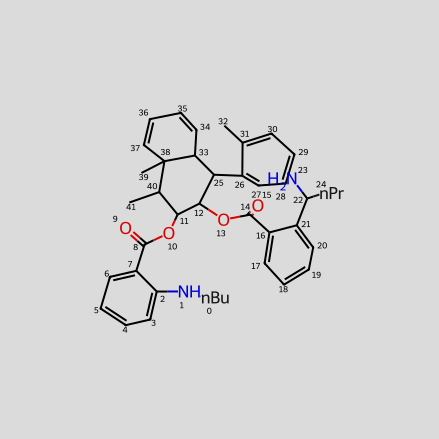 CCCCNc1ccccc1C(=O)OC1C(OC(=O)c2ccccc2C(N)CCC)C(c2ccccc2C)C2C=CC=CC2(C)C1C